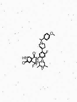 COc1ccc(C(C)N2CC=C(c3cc(NC(=O)c4c[nH]c(=O)cc4C(F)(F)F)c(N4CC(C)N(C)C(C)C4)cc3F)CC2)cc1